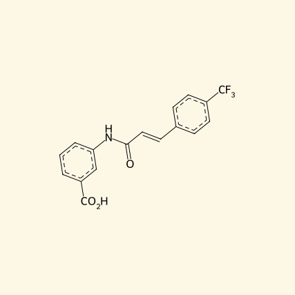 O=C(/C=C/c1ccc(C(F)(F)F)cc1)Nc1cccc(C(=O)O)c1